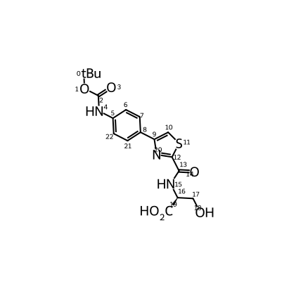 CC(C)(C)OC(=O)Nc1ccc(-c2csc(C(=O)N[C@@H](CO)C(=O)O)n2)cc1